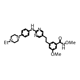 CCN1CCN(c2ccc(Nc3ncc(CCc4cc(OC)cc(C(=O)NOC)c4)cn3)cc2)CC1